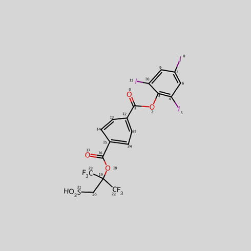 O=C(Oc1c(I)cc(I)cc1I)c1ccc(C(=O)OC(CS(=O)(=O)O)(C(F)(F)F)C(F)(F)F)cc1